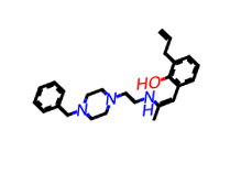 C=CCc1cccc(C=C(C)NCCN2CCN(Cc3ccccc3)CC2)c1O